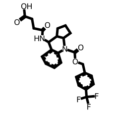 O=C(O)CCC(=O)NC1c2ccccc2N(C(=O)OCc2ccc(C(F)(F)F)cc2)C2CCCC12